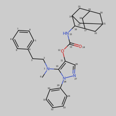 CN(CCc1ccccc1)c1c(OC(=O)NC2C3CC4CC(C3)CC2C4)cnn1-c1ccccc1